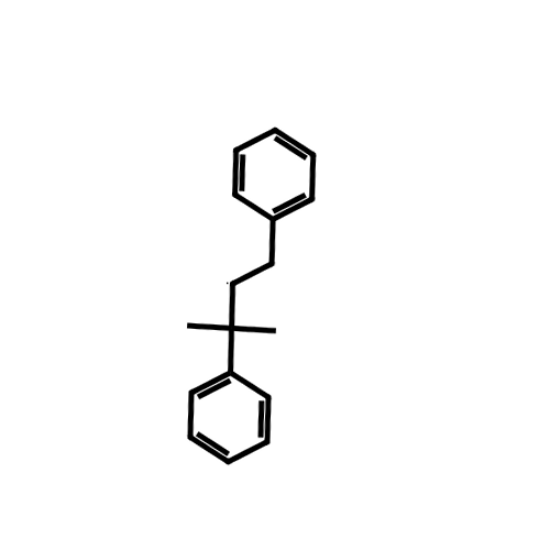 CC(C)([CH]Cc1ccccc1)c1ccccc1